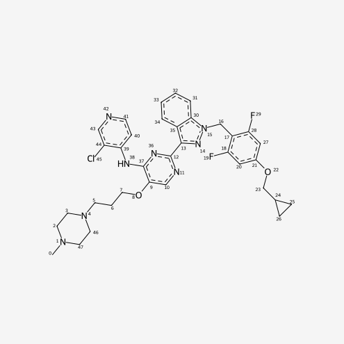 CN1CCN(CCCOc2cnc(-c3nn(Cc4c(F)cc(OCC5CC5)cc4F)c4ccccc34)nc2Nc2ccncc2Cl)CC1